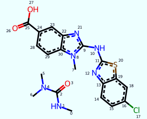 CNC(=O)N(C)C.Cn1c(Nc2nc3ccc(Cl)cc3s2)nc2cc(C(=O)O)ccc21